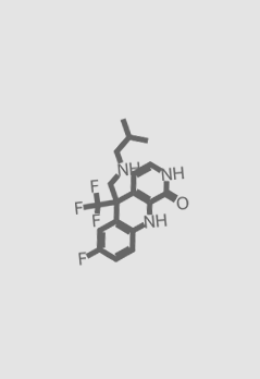 CC(C)CNCC1(C(F)(F)F)c2cc(F)ccc2Nc2c1cc[nH]c2=O